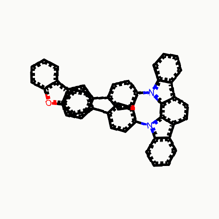 c1ccc(-c2ccc(-n3c4ccccc4c4ccc5c6ccccc6n(-c6ccc(-c7ccc8oc9ccccc9c8c7)cc6)c5c43)cc2)cc1